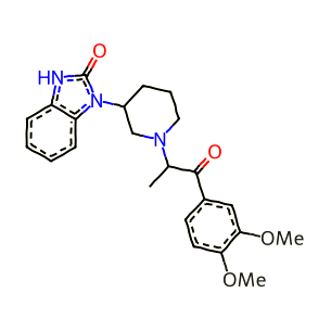 COc1ccc(C(=O)C(C)N2CCCC(n3c(=O)[nH]c4ccccc43)C2)cc1OC